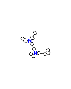 c1ccc(-c2ccc(N(c3ccc(-c4ccc(N(c5ccc(-c6ccc7c(c6)C6CC8CC7CC6C8)cc5)c5cccc6ccccc56)cc4)cc3)c3ccc4ccccc4c3)cc2)cc1